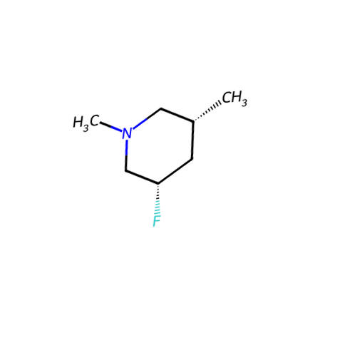 C[C@@H]1C[C@H](F)CN(C)C1